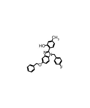 Cc1ccc(-c2nc3cc(OCc4ccccc4)ccc3n2Cc2ccc(F)cc2)c(O)c1